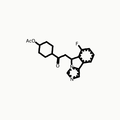 CC(=O)OC1CCC(C(=O)CC2c3c(F)cccc3-c3cncn32)CC1